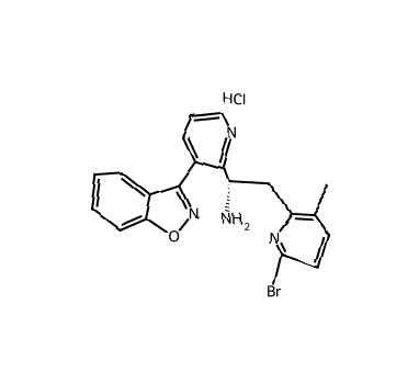 Cc1ccc(Br)nc1C[C@H](N)c1ncccc1-c1noc2ccccc12.Cl